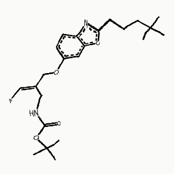 CC(C)(C)CCCc1nc2ccc(OC/C(=C/F)CNC(=O)OC(C)(C)C)cc2o1